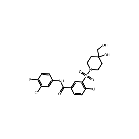 O=C(Nc1ccc(F)c(Cl)c1)c1ccc(Cl)c(S(=O)(=O)N2CCC(O)(CO)CC2)c1